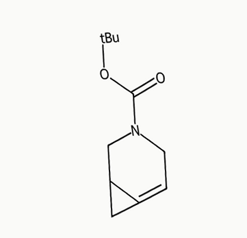 CC(C)(C)OC(=O)N1CC=C2CC2C1